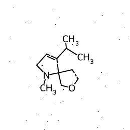 CC(C)C1=CCN(C)C12CCOC2